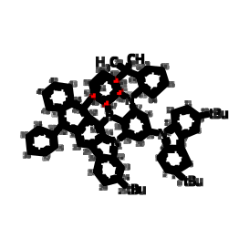 CC(C)(C)c1ccc2c(c1)c1cc(C(C)(C)C)ccc1n2-c1cc2c3c(c1)-n1c4cc(C(C)(C)C)ccc4c4cc5c(-c6ccccc6)c6ccccc6c(-c6ccccc6)c5c(c41)B3c1cccc3c1N2c1ccccc1C3(C)C